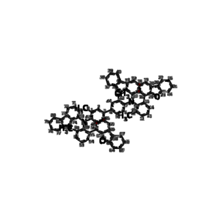 Cc1cc(-c2ccc(N(c3c(C)cccc3-c3cccc4c3oc3ccccc34)c3cccc4c3sc3ccccc34)c(C)c2)ccc1N(c1c(C)cccc1-c1cccc2c1oc1ccccc12)c1cccc2c1sc1ccccc12